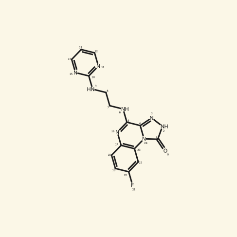 O=c1[nH]nc2c(NCCNc3ncccn3)nc3ccc(F)cc3n12